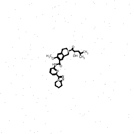 COc1cc2c(cc1C(=O)Nc1cccc(-c3nnc4n3CCCC4)n1)CN(C(=O)[C@@H](O)CC(C)C)CC2